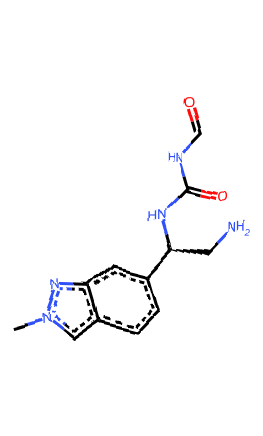 Cn1cc2ccc([C@H](CN)NC(=O)NC=O)cc2n1